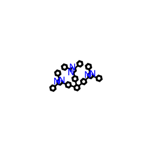 c1ccc(-c2cc(-c3ccc(-c4cccc(-c5ccc(-c6cc(-c7ccccc7)nc(-c7ccccc7)n6)cc5)c4-c4ccc(-c5cc(-c6ccccc6)nc(-c6ccccc6)n5)cc4)cc3)nc(-c3ccccc3)n2)cc1